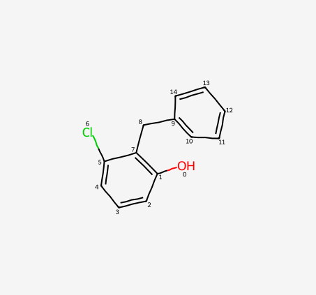 Oc1cccc(Cl)c1Cc1ccccc1